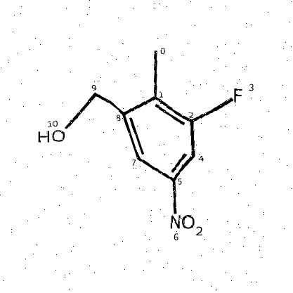 Cc1c(F)cc([N+](=O)[O-])cc1CO